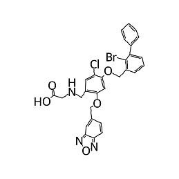 O=C(O)CNCc1cc(Cl)c(OCc2cccc(-c3ccccc3)c2Br)cc1OCc1ccc2nonc2c1